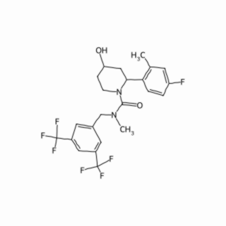 Cc1cc(F)ccc1C1CC(O)CCN1C(=O)N(C)Cc1cc(C(F)(F)F)cc(C(F)(F)F)c1